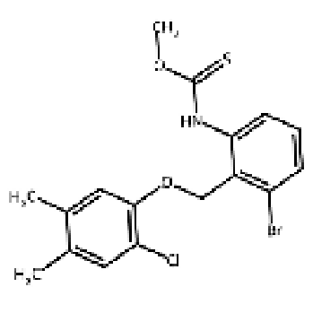 COC(=S)Nc1cccc(Br)c1COc1cc(C)c(C)cc1Cl